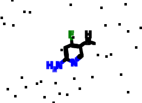 CBc1cnc(N)cc1F